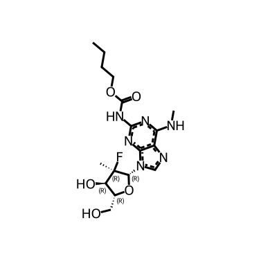 CCCCOC(=O)Nc1nc(NC)c2ncn([C@@H]3O[C@H](CO)[C@@H](O)[C@@]3(C)F)c2n1